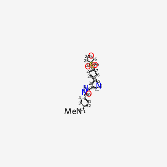 CNCc1ccc(-c2nnc(-c3cncc(-c4ccc(S(=O)(=O)C5CCOC5)cc4)c3)o2)cc1